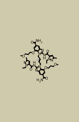 CCn1nc(C)cc1C(=O)Nc1nc2cc(C(N)=O)cc(OCCCOC)c2n1C/C=C/Cn1c(NC(=O)c2cc(C)nn2CC)nc2cc(C(N)=O)cc(OCCCOC)c21